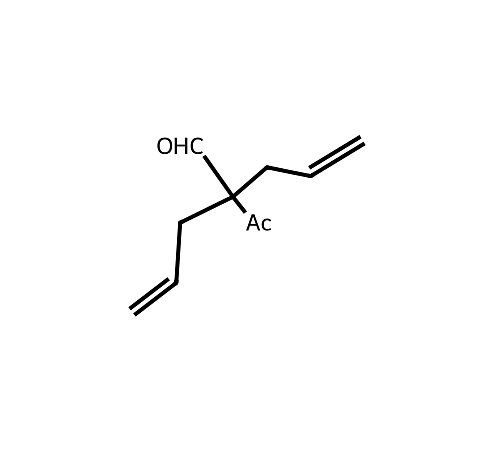 C=CCC(C=O)(CC=C)C(C)=O